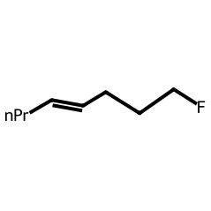 CCCC=CCCCF